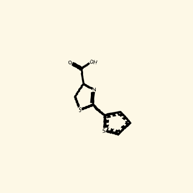 O=C(O)C1CSC(c2cccs2)=N1